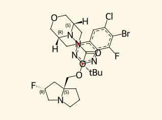 CC(C)(C)OC(=O)N1C[C@H]2COC[C@@H](C1)N2c1nc(OC[C@@]23CCCN2C[C@H](F)C3)nc2c(F)c(Br)c(Cl)cc12